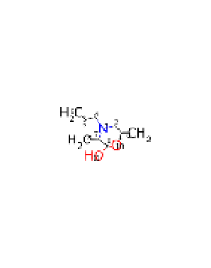 C=CCN(CC=C)C(=C)C(=O)O